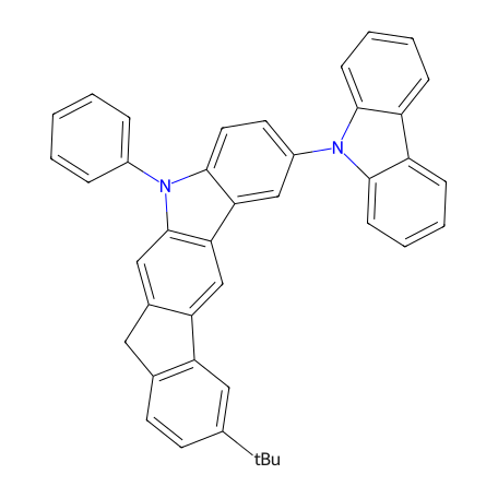 CC(C)(C)c1ccc2c(c1)-c1cc3c4cc(-n5c6ccccc6c6ccccc65)ccc4n(-c4ccccc4)c3cc1C2